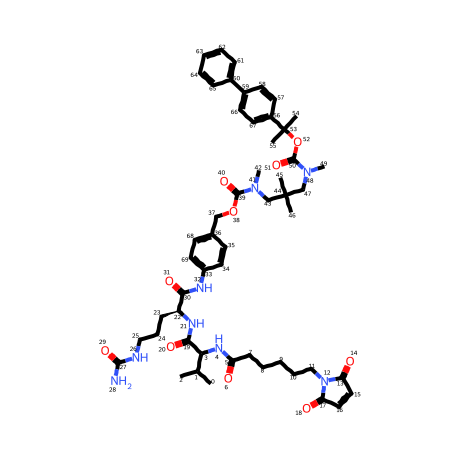 CC(C)C(NC(=O)CCCCCN1C(=O)C=CC1=O)C(=O)N[C@@H](CCCNC(N)=O)C(=O)Nc1ccc(COC(=O)N(C)CC(C)(C)CN(C)C(=O)OC(C)(C)c2ccc(-c3ccccc3)cc2)cc1